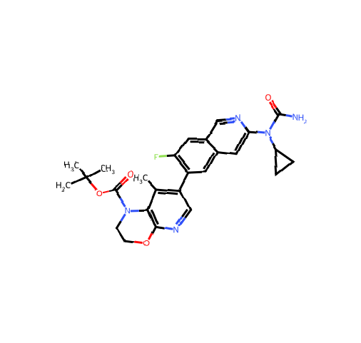 Cc1c(-c2cc3cc(N(C(N)=O)C4CC4)ncc3cc2F)cnc2c1N(C(=O)OC(C)(C)C)CCO2